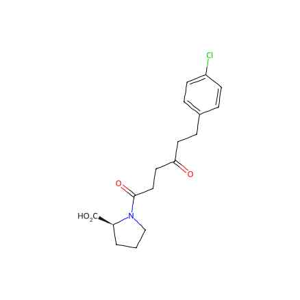 O=C(CCC(=O)N1CCC[C@H]1C(=O)O)CCc1ccc(Cl)cc1